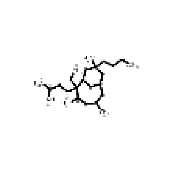 CCCCC1(C)CC2CC(C)CC(C)C(CC)(CCC(C)N)C(C2)C1